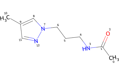 CC(=O)NCCCn1cc(C)cn1